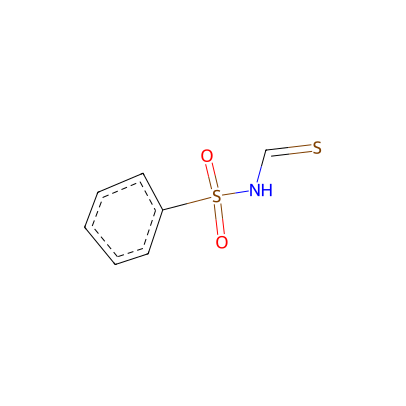 O=S(=O)(NC=S)c1ccccc1